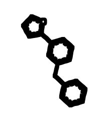 c1ccc(Cc2cccc(-c3ccco3)c2)cc1